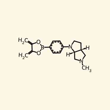 C=C1OB(c2ccc(N3CC[C@@H]4CN(C)C[C@@H]43)cc2)OC1=C